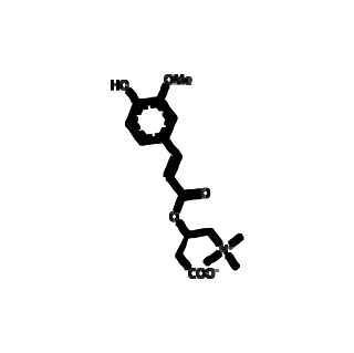 COc1cc(/C=C/C(=O)O[C@H](CC(=O)[O-])C[N+](C)(C)C)ccc1O